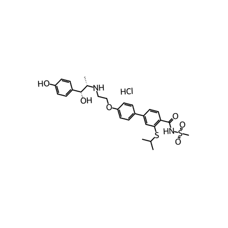 CC(C)Sc1cc(-c2ccc(OCCN[C@@H](C)[C@H](O)c3ccc(O)cc3)cc2)ccc1C(=O)NS(C)(=O)=O.Cl